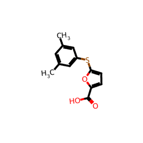 Cc1cc(C)cc(Sc2ccc(C(=O)O)o2)c1